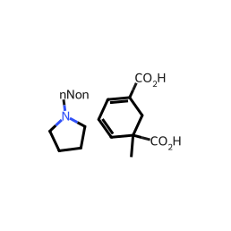 CC1(C(=O)O)C=CC=C(C(=O)O)C1.CCCCCCCCCN1CCCC1